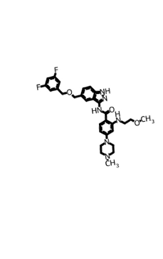 COCCNc1cc(N2CCN(C)CC2)ccc1C(=O)Nc1n[nH]c2ccc(COCc3cc(F)cc(F)c3)cc12